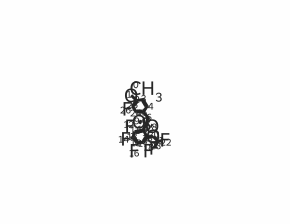 COc1ccc(CS(=O)(=O)c2c(F)c(F)c(F)c(F)c2OC(F)F)cc1F